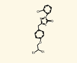 CCC(CC)COc1ccc(Cc2nn(-c3ccccc3Cl)c(=O)s2)cc1